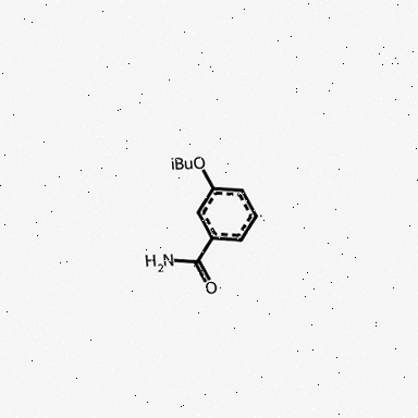 CC(C)COc1c[c]cc(C(N)=O)c1